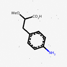 COC(Cc1ccc(N)cc1)C(=O)O